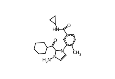 Cc1ccc(C(=O)NC2CC2)cc1N1C=CN(N)C1C(=O)C1CCCCC1